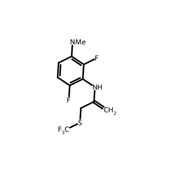 C=C(CSC(F)(F)F)Nc1c(F)ccc(NC)c1F